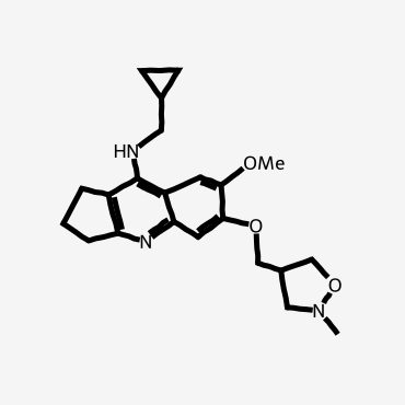 COc1cc2c(NCC3CC3)c3c(nc2cc1OCC1CON(C)C1)CCC3